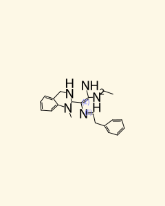 CCN/C(N)=C(\N=C\Cc1ccccc1)C1NCc2ccccc2N1C